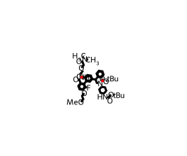 COCCOc1ccc(C(=O)NCCOCC(=O)N(C)C)c(-c2cc(C(CN(C(=O)OC(C)(C)C)C3CCC(NC(=O)OC(C)(C)C)CC3)c3ccccc3)ccc2Cl)c1F